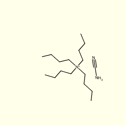 CCCC[N+](CCCC)(CCCC)CCCC.N#CN